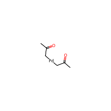 CC(=O)[CH2][Pd][CH2]C(C)=O